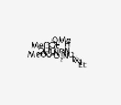 CCN1CCN(c2ccc(Nc3cc4c(cn3)N(Cc3ccc(OC)cc3)C(C=O)(c3c(F)c(OC)cc(OC)c3F)C4)c([N+](=O)[O-])c2)CC1